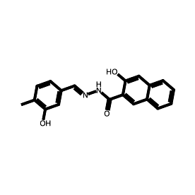 Cc1ccc(/C=N/NC(=O)c2cc3ccccc3cc2O)cc1O